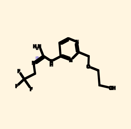 N/C(=N/CC(F)(F)F)Nc1ccnc(COCCO)n1